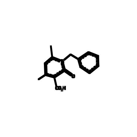 Cc1cc(C)n(Cc2ccccc2)c(=O)c1C(=O)O